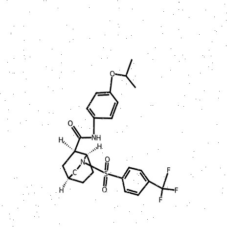 CC(C)Oc1ccc(NC(=O)[C@@H]2C[C@@H]3CC[C@H]2N(S(=O)(=O)c2ccc(C(F)(F)F)cc2)C3)cc1